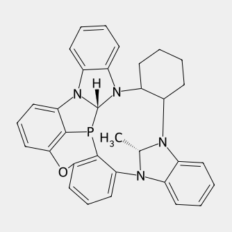 C[C@H]1N2c3ccccc3N1C1CCCCC1N1c3ccccc3N3c4cccc5c4P(c4c(cccc42)O5)[C@H]31